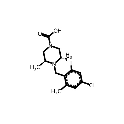 Cc1cc(Cl)cc(I)c1CN1[C@@H](C)CN(C(=O)O)C[C@@H]1C